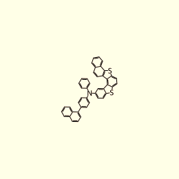 c1ccc(N(c2ccc(-c3cccc4ccccc34)cc2)c2ccc3sc4ccc5sc6c7ccccc7ccc6c5c4c3c2)cc1